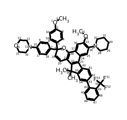 COc1ccc(C2(c3ccc(N4CCOCC4)cc3)C=Cc3c4c(c5cc(N6CCCCC6)c(OC)cc5c3O2)-c2ccc(-c3ccccc3C(F)(F)F)cc2C4(C)C)cc1